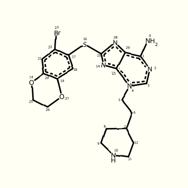 Nc1ncn(CCC2CCNCC2)c2nc(Sc3cc4c(cc3Br)OCCO4)nc1-2